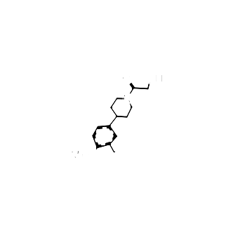 COc1ccc(C2CCN(C(=O)CO)CC2)cc1C(C)C